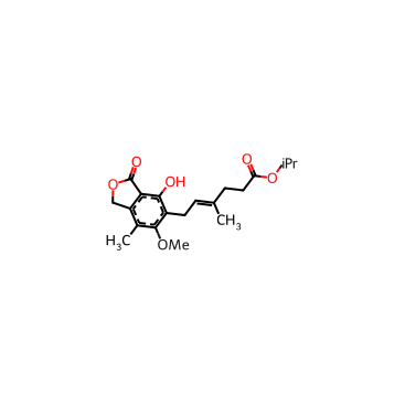 [CH2]C([CH2])OC(=O)CC/C(C)=C/Cc1c(O)c2c(c(C)c1OC)COC2=O